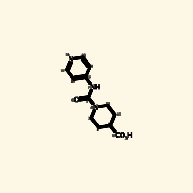 O=C(O)C1CCN(C(=O)Nc2ccncc2)CC1